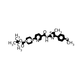 COc1ccc(-c2nc(NC(=O)c3ccc(N4CCN(C(=O)OC(C)(C)C)CC4)nc3)sc2C)cc1